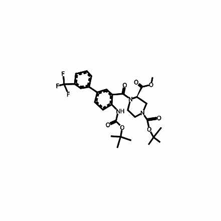 COC(=O)[C@H]1CN(C(=O)OC(C)(C)C)CCN1C(=O)c1cc(-c2cccc(C(F)(F)F)c2)ccc1NC(=O)OC(C)(C)C